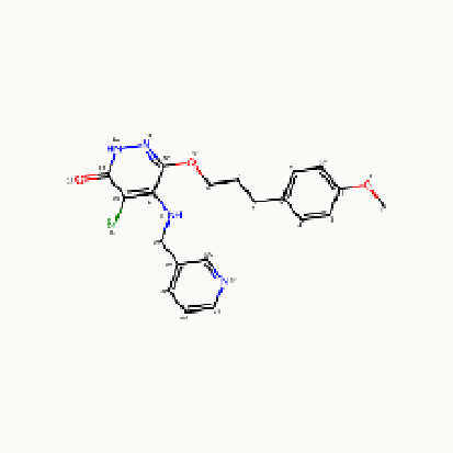 COc1ccc(CCCOc2n[nH]c(=O)c(Br)c2NCc2cccnc2)cc1